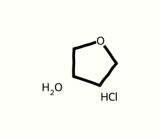 C1CCOC1.Cl.O